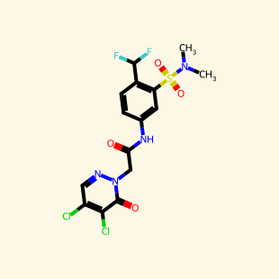 CN(C)S(=O)(=O)c1cc(NC(=O)Cn2ncc(Cl)c(Cl)c2=O)ccc1C(F)F